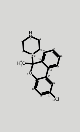 CC1(N2CCNCC2)Oc2ccc(Cl)cc2-c2ccccc21